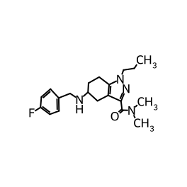 CCCn1nc(C(=O)N(C)C)c2c1CCC(NCc1ccc(F)cc1)C2